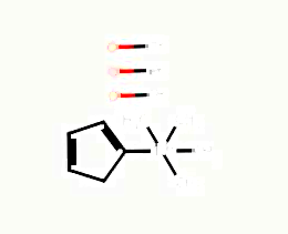 CC(C)[O-].CC(C)[O-].CC(C)[O-].[CH3][Ti+3]([CH3])([CH3])([CH3])[C]1=CC=CC1